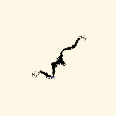 CCCCCCCCCCCCCCCCOC(=O)CCCCCCC/C=C\CC(O)CCCCCC